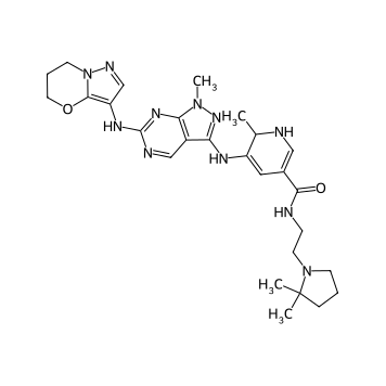 CC1NC=C(C(=O)NCCN2CCCC2(C)C)C=C1Nc1nn(C)c2nc(Nc3cnn4c3OCCC4)ncc12